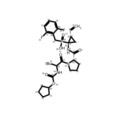 C=C[C@@H]1C[C@]1(NC(=O)[C@@H]1CCCN1C(=O)C(NC(=O)OC1CCCC1)C(C)(C)C)P(=O)(O)Cc1c(F)cccc1F